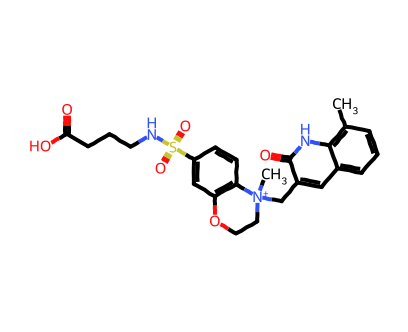 Cc1cccc2cc(C[N+]3(C)CCOc4cc(S(=O)(=O)NCCCC(=O)O)ccc43)c(=O)[nH]c12